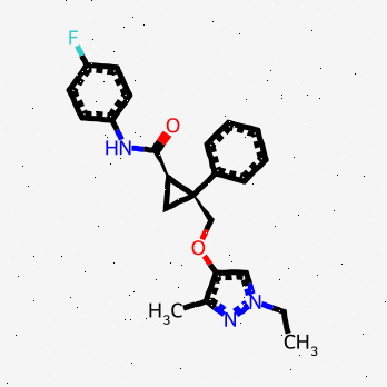 CCn1cc(OC[C@@]2(c3ccccc3)C[C@H]2C(=O)Nc2ccc(F)cc2)c(C)n1